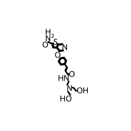 NC(=O)c1cc2c(Oc3ccc(C=CC(=O)NCCN(CCO)CCO)cc3)cncc2s1